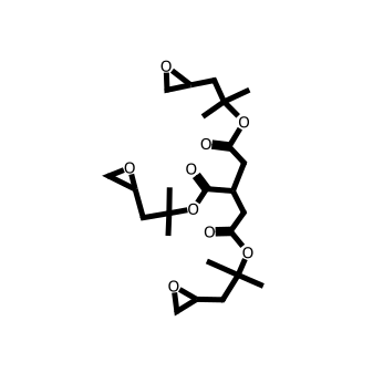 CC(C)(CC1CO1)OC(=O)CC(CC(=O)OC(C)(C)CC1CO1)C(=O)OC(C)(C)CC1CO1